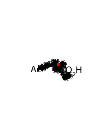 CC(=O)N1CCN(c2ccc(OCc3nn(C)c(C)c3-c3cccc4c(CCCOc5cccc6ccccc56)c(OC(=O)O)n(Cc5cccnc5)c34)cc2)CC1